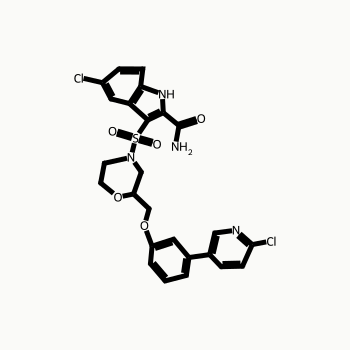 NC(=O)c1[nH]c2ccc(Cl)cc2c1S(=O)(=O)N1CCOC(COc2cccc(-c3ccc(Cl)nc3)c2)C1